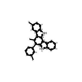 Cc1cccc(-c2c(C)c3c4cc(C)ccc4[nH]c3c3c2[nH]c2ccccc23)c1